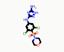 Nc1nc(Nc2cc(Cl)c(S(=O)(=O)N3CCOCC3)c(Cl)c2)n[nH]1